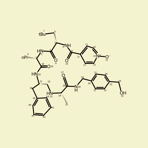 CCC[C@H](NC(=O)[C@H](CC(C)(C)C)NC(=O)c1cc[n+]([O-])cc1)C(=O)N[C@H](CN[C@@H](C)C(=O)NCc1ccc(CO)cc1)Cc1ccccc1